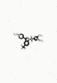 Cc1nc(S(=O)(=O)n2nc(C3=CCN(C)CC3)c3cc(C(F)(F)F)ccc32)cn1C